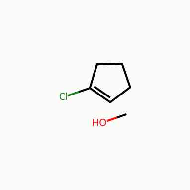 CO.ClC1=CCCC1